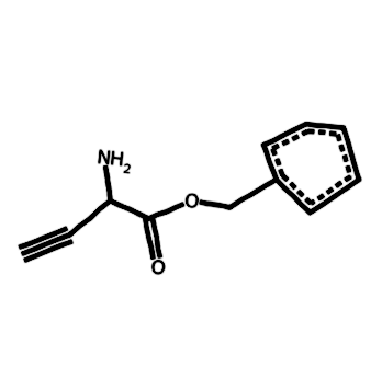 C#CC(N)C(=O)OCc1ccccc1